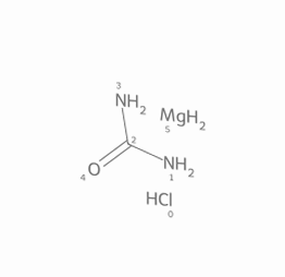 Cl.NC(N)=O.[MgH2]